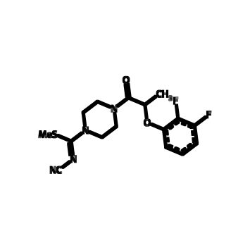 CS/C(=N\C#N)N1CCN(C(=O)C(C)Oc2cccc(F)c2F)CC1